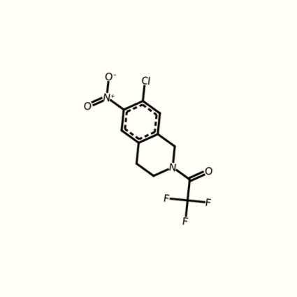 O=C(N1CCc2cc([N+](=O)[O-])c(Cl)cc2C1)C(F)(F)F